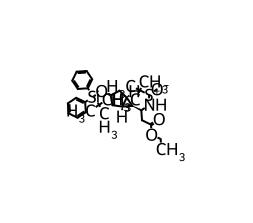 CCOC(=O)CC(N[S+]([O-])C(C)(C)C)[C@H]1[C@@H]2CC(O[Si](c3ccccc3)(c3ccccc3)C(C)(C)C)C[C@@H]21